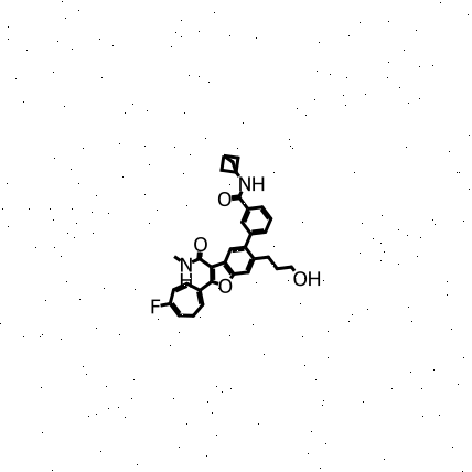 CNC(=O)c1c(C2=CCC=C(F)C=C2)oc2cc(CCCO)c(-c3cccc(C(=O)NC45CC(C4)C5)c3)cc12